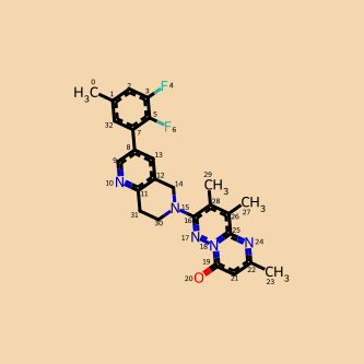 Cc1cc(F)c(F)c(-c2cnc3c(c2)CN(c2nn4c(=O)cc(C)nc4c(C)c2C)CC3)c1